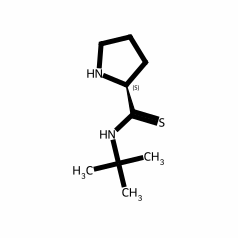 CC(C)(C)NC(=S)[C@@H]1CCCN1